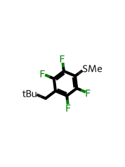 CSc1c(F)c(F)c(CC(C)(C)C)c(F)c1F